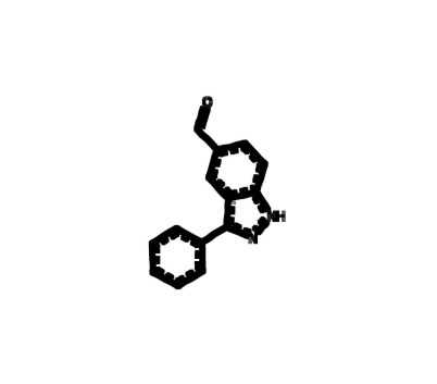 O=Cc1ccc2[nH]nc(-c3ccccc3)c2c1